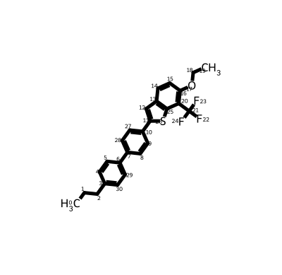 CCCc1ccc(-c2ccc(-c3cc4ccc(OCC)c(C(F)(F)F)c4s3)cc2)cc1